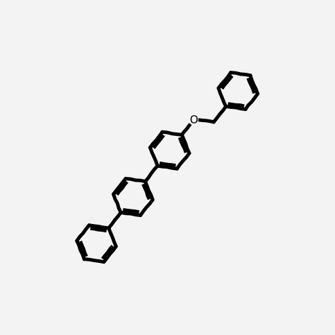 c1ccc(COc2ccc(-c3ccc(-c4ccccc4)cc3)cc2)cc1